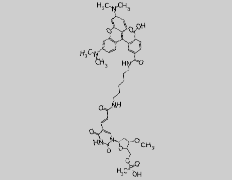 CO[C@@H]1C[C@H](n2cc(/C=C/C(=O)NCCCCCCNC(=O)c3ccc(C(=O)O)c(C4=C5C=CC(N(C)C)C=C5Oc5cc(N(C)C)ccc54)c3)c(=O)[nH]c2=O)OC1COP(C)(=O)O